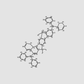 CC1(C)C2=C(c3cc4c(cc31)-c1ccc(N(C3=CC=CCC3)c3ccccc3)cc1C4(C)C)C1CC=CC=C1C(N(c1ccccc1)c1ccccc1)=C2